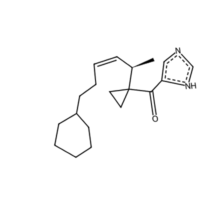 C[C@H](/C=C\CCC1CCCCC1)C1(C(=O)c2cnc[nH]2)CC1